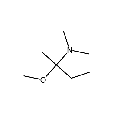 CCC(C)(OC)N(C)C